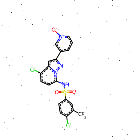 O=S(=O)(Nc1ccc(Cl)c2cc(-c3ccc[n+]([O-])c3)nn12)c1ccc(Cl)c(C(F)(F)F)c1